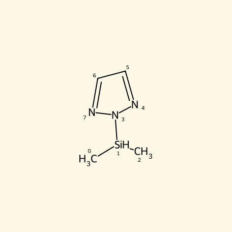 C[SiH](C)n1nccn1